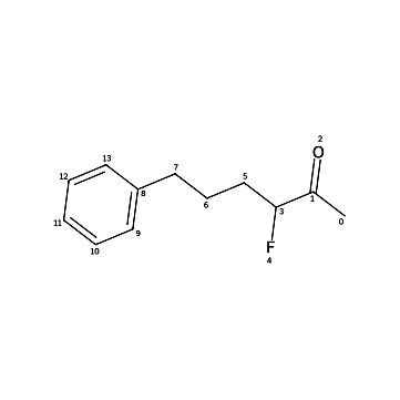 CC(=O)C(F)CCCc1ccccc1